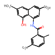 Cc1ccc([N+](=O)[O-])cc1C(=O)Nc1cc(S(=O)(=O)O)cc2cc(S(=O)(=O)O)cc(O)c12